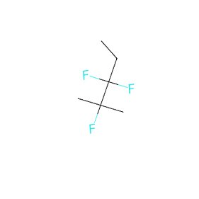 CCC(F)(F)C(C)(C)F